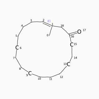 C/C1=C\CCCCCCCCCCCCCC(=O)C1